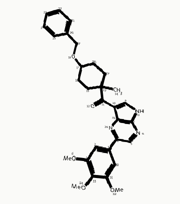 COc1cc(-c2cnc3[nH]cc(C(=O)C4(C)CCC(OCc5ccccc5)CC4)c3n2)cc(OC)c1OC